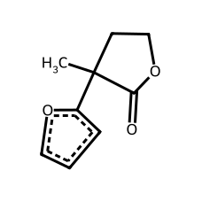 CC1(c2ccco2)CCOC1=O